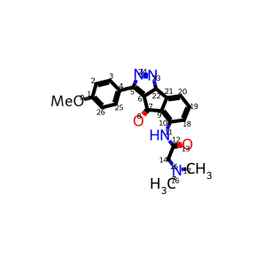 COc1ccc(C2=C3C(=O)c4c(NC(=O)CN(C)C)cccc4C3N=N2)cc1